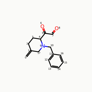 C=C1CCC(C(=O)C=O)N(Cc2ccccc2)C1